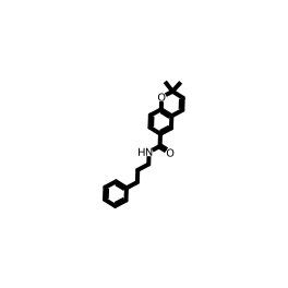 CC1(C)C=Cc2cc(C(=O)NCCCc3ccccc3)ccc2O1